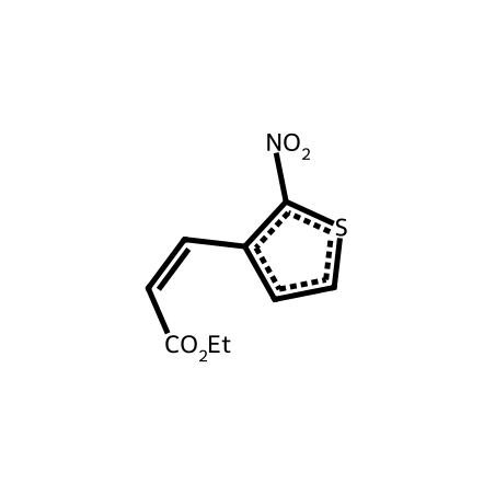 CCOC(=O)/C=C\c1ccsc1[N+](=O)[O-]